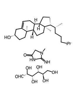 CC(C)CCC[C@@H](C)[C@H]1CC[C@H]2[C@@H]3CC=C4C[C@@H](O)CC[C@]4(C)[C@H]3CC[C@]12C.CN1CC(=O)NC1=N.O=C[C@H](O)[C@@H](O)[C@H](O)[C@H](O)CO